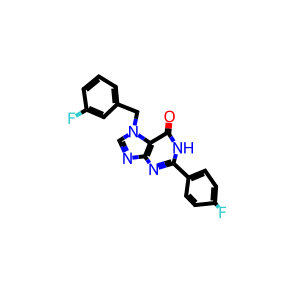 O=c1[nH]c(-c2ccc(F)cc2)nc2ncn(Cc3cccc(F)c3)c12